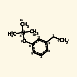 [CH2]Cc1cccc(O[Si](C)(C)C)c1